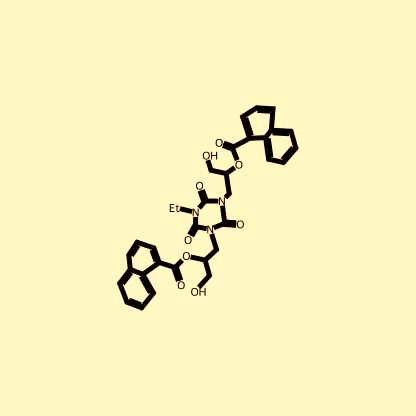 CCn1c(=O)n(CC(CO)OC(=O)c2cccc3ccccc23)c(=O)n(CC(CO)OC(=O)c2cccc3ccccc23)c1=O